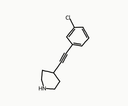 Clc1cccc(C#CC2CCNCC2)c1